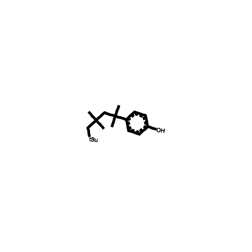 CC(C)(C)CC(C)(C)CC(C)(C)c1ccc(O)cc1